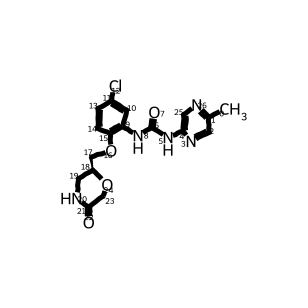 Cc1cnc(NC(=O)Nc2cc(Cl)ccc2OC[C@@H]2CNC(=O)CO2)cn1